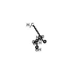 CCCCCCCCCCCCCCNC(=O)[C@H](CCc1ccccc1)NC(=O)c1ccc([N+](=O)[O-])c(C#Cc2ccc(O)cc2)c1